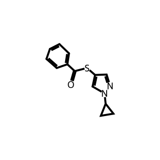 O=C(Sc1cnn(C2CC2)c1)c1ccccc1